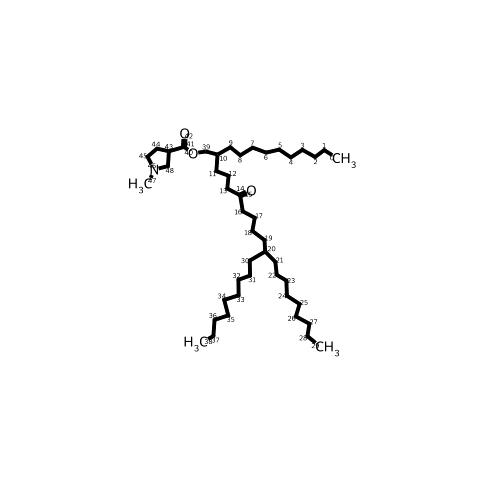 CCCCCCCCCCC(CCCC(=O)CCCCC(CCCCCCCCC)CCCCCCCCC)COC(=O)C1CCN(C)C1